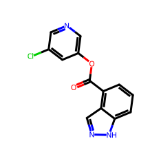 O=C(Oc1cncc(Cl)c1)c1cccc2[nH]ncc12